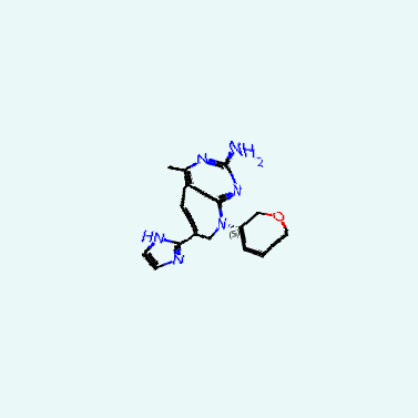 Cc1nc(N)nc2c1C=C(c1ncc[nH]1)CN2[C@H]1CCCOC1